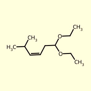 CCOC(C/C=C\C(C)C)OCC